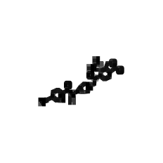 Cc1c([C@@H](O)CN2CC3C(C2)C3NC(=O)c2ccc(C#N)cn2)ccc2c1COC2=O